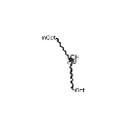 CCCCCCCCC=CCCCCCCCCOP(=O)(O)CCCCCCCCC=CCCCCCCCC